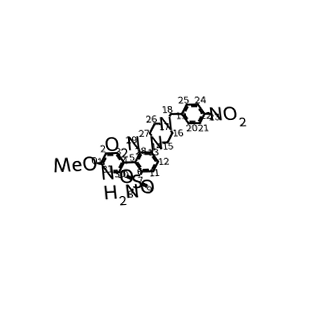 COc1ccc(-c2c(S(N)(=O)=O)ccc(N3CCN(Cc4ccc([N+](=O)[O-])cc4)CC3)c2[N+](=O)[O-])cn1